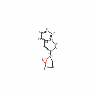 [c]1c(C2CCCO2)ccc2ccccc12